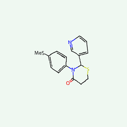 CSc1ccc(N2C(=O)CCSC2c2cccnc2)cc1